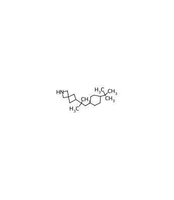 CC(C)(C)C1CCC(CC(C)(C)C2CC3(CNC3)C2)CC1